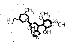 COc1cc(O)c(C(CC(=O)N2C[C@H](C)C[C@H](C)C2)c2cnc[nH]2)c(OC)c1